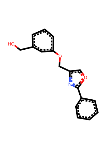 OCc1cccc(OCc2coc(-c3ccccc3)n2)c1